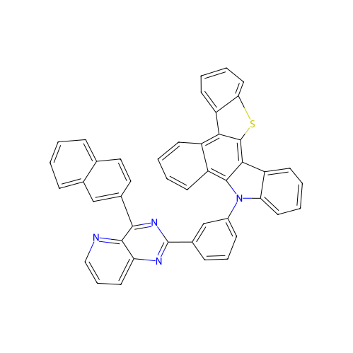 c1cc(-c2nc(-c3ccc4ccccc4c3)c3ncccc3n2)cc(-n2c3ccccc3c3c4sc5ccccc5c4c4ccccc4c32)c1